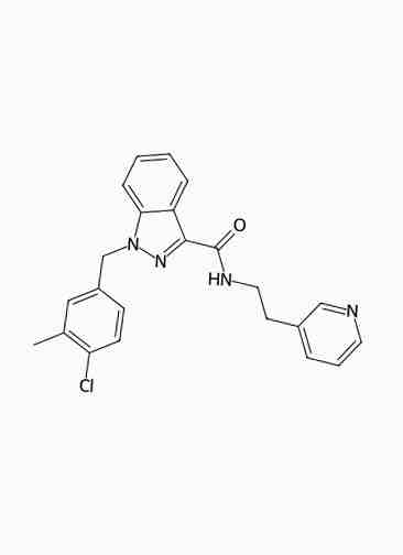 Cc1cc(Cn2nc(C(=O)NCCc3cccnc3)c3ccccc32)ccc1Cl